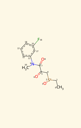 CC[S+]([O-])CC(=O)C(=O)N(C)c1cccc(F)c1